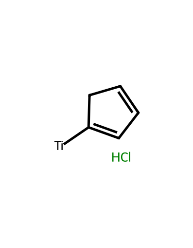 Cl.[Ti][C]1=CC=CC1